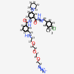 [N-]=[N+]=NCCOCCOCCOCCNCc1cccc(C(=O)Nc2ccc(N3CCCCC3)cc2C(=O)N/N=C/c2ccc(Cl)c(C(F)(F)F)c2)c1